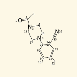 CC(=O)N1CCN(c2cc(C)c(C)cc2C#N)CC1